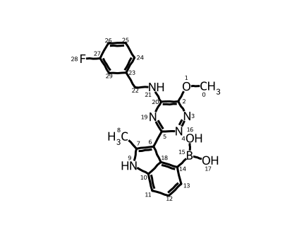 COc1nnc(-c2c(C)[nH]c3cccc(B(O)O)c23)nc1NCc1cccc(F)c1